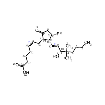 CCCCC(C)(C)[C@H](O)/C=C/[C@H]1[C@@H](F)CC(=O)[C@@H]1C/C=C\CCCC(=O)O